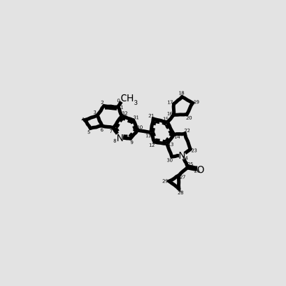 CC1=CC2CCC2c2ncc(-c3cc4c(c(C5CCCC5)c3)CCN(C(=O)C3CC3)C4)cc21